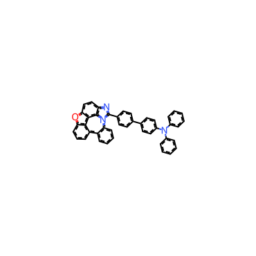 c1ccc(N(c2ccccc2)c2ccc(-c3ccc(-c4nc5ccc6oc7cccc8c9ccccc9n4c5c6c78)cc3)cc2)cc1